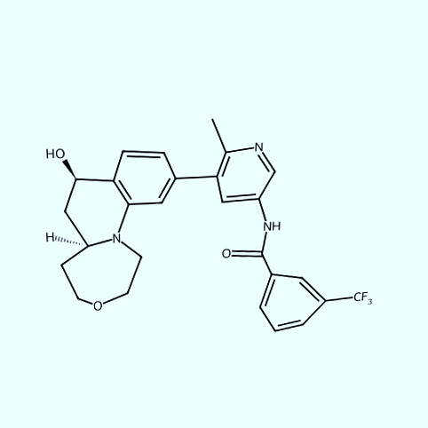 Cc1ncc(NC(=O)c2cccc(C(F)(F)F)c2)cc1-c1ccc2c(c1)N1CCOCC[C@H]1C[C@H]2O